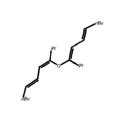 CCCCC=CC=C(OC(=CC=CCCCC)C(C)C)C(C)C